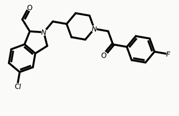 O=CC1c2ccc(Cl)cc2CN1CC1CCN(CC(=O)c2ccc(F)cc2)CC1